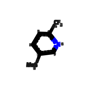 CSc1ccc(C(F)(F)F)nc1